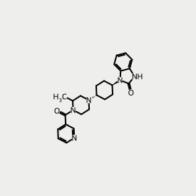 CC1CN([C@H]2CC[C@H](n3c(=O)[nH]c4ccccc43)CC2)CCN1C(=O)c1cccnc1